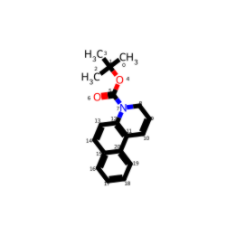 CC(C)(C)OC(=O)N1CC=Cc2c1ccc1ccccc21